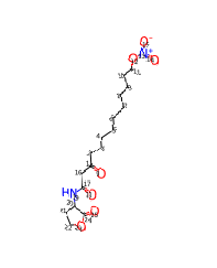 O=C(CCCCCCCCCCO[N+](=O)[O-])CC(=O)NC1CCOC1=O